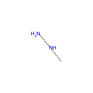 CCCCCCCCCCNCCCCCCCCCCN